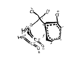 Clc1ccccc1C(Cl)(Cl)Cl.N=C=O.N=C=O